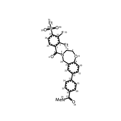 CCc1c(C(=O)N2CCOc3ccc(-c4ccc(C(=O)NC)cc4)cc3C2)ccc(S(=O)(=O)CC)c1F